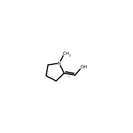 CN1CCC/C1=C/O